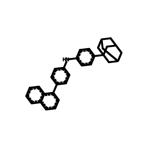 c1ccc2c(-c3ccc(Nc4ccc(C56CC7CC(CC(C7)C5)C6)cc4)cc3)cccc2c1